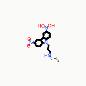 CNCCCn1c2ccc(N(O)O)cc2c2cc([N+](=O)[O-])ccc21